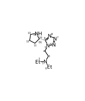 CCN(CC)CCn1nnnc1[C@@H]1CCCN1